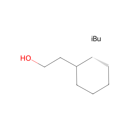 CC[C@H](C)[C@@H]1CCCCC1CCO